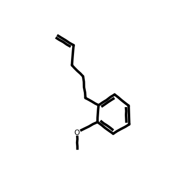 C=CCCCc1ccccc1OC